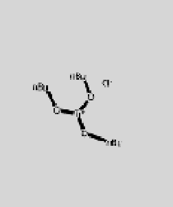 CCCC[O][Ti+]([O]CCCC)[O]CCCC.[Cl-]